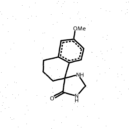 COc1ccc2c(c1)CCCC21NCNC1=O